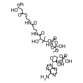 CCC[C@H](O)CC(=O)SCCNC(=O)CCNC(=O)[C@H](O)C(C)(C)COP(=O)(O)OP(=O)(O)OC[C@H]1O[C@@H](n2cnc3c(N)ncnc32)C(O)[C@H]1OP(=O)(O)O